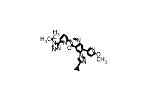 COc1ccc(-c2cc3ncn(-c4cccc(-c5nncn5C(C)C)n4)c(=O)c3cc2-n2cnc(C3CC3)c2)cn1